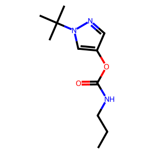 CCCNC(=O)Oc1cnn(C(C)(C)C)c1